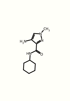 Cn1cc(N)c(C(=O)NC2CCCCC2)n1